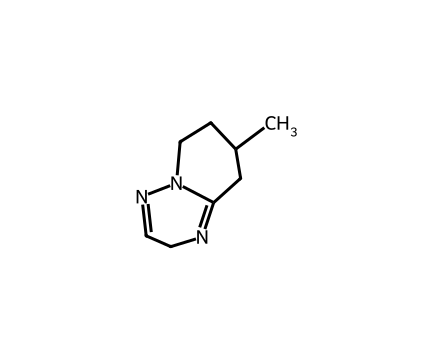 CC1CCN2N=CCN=C2C1